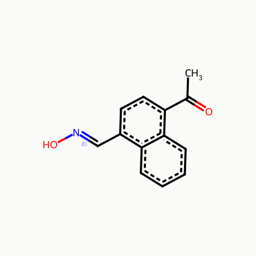 CC(=O)c1ccc(/C=N/O)c2ccccc12